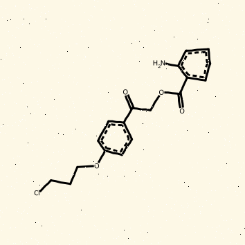 Nc1ccccc1C(=O)OCC(=O)c1ccc(OCCCCl)cc1